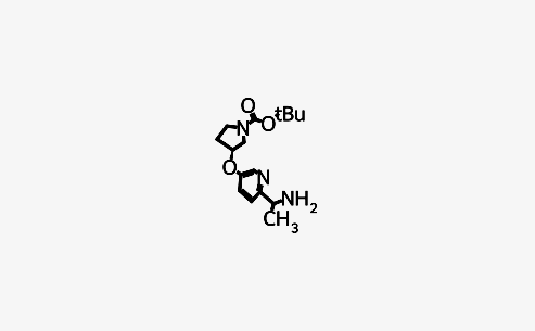 CC(N)c1ccc(O[C@H]2CCN(C(=O)OC(C)(C)C)C2)cn1